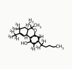 [2H]c1c(O)c2c(c([2H])c1C([2H])([2H])CCCC)OC(C)(C)[C@@H]1CC([2H])([2H])C(C([2H])([2H])[2H])=C[C@@H]21